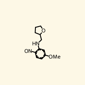 COc1ccc(N=O)c(NCC2CCCO2)c1